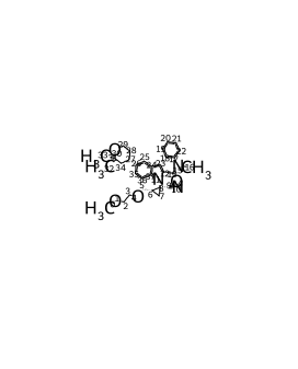 COCCOC[C@H]1C[C@]1(C#N)n1c(C(=O)N(C)c2ccccc2)cc2cc([C@H]3CCOC(C)(C)C3)ccc21